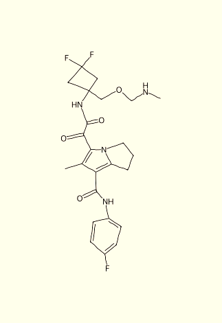 CNCOCC1(NC(=O)C(=O)c2c(C)c(C(=O)Nc3ccc(F)cc3)c3n2CCC3)CC(F)(F)C1